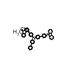 CC1(C)c2ccccc2-c2c(-c3ccc(N(c4ccc(-c5ccccc5)cc4)c4ccc(-c5ccc(N6C7C=CC=CC7C7C=CC=CC76)cc5)cc4)cc3)cccc21